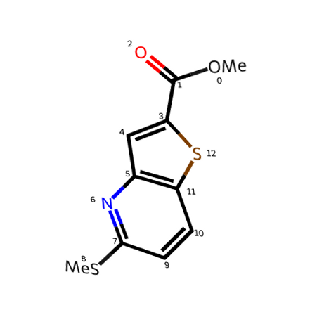 COC(=O)c1cc2nc(SC)ccc2s1